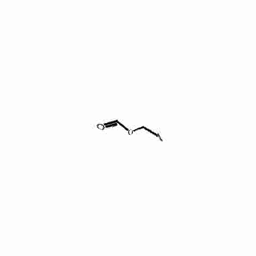 O=COCI